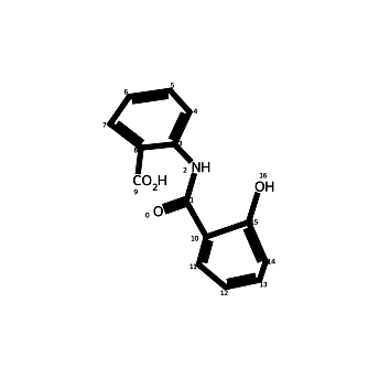 O=C(Nc1ccccc1C(=O)O)c1ccccc1O